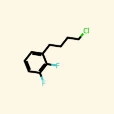 Fc1cccc(CCCCCl)c1F